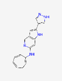 C1=CCC=C(Nc2cc3[nH]c(-c4cn[nH]c4)cc3cn2)C=C1